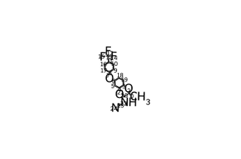 CC(Oc1ccc(Oc2ccc(C(F)(F)F)cc2)cc1)C(=O)NC#N